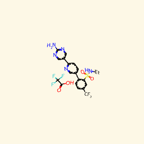 CCNS(=O)(=O)c1cc(C(F)(F)F)ccc1-c1ccc(-c2cnc(N)nc2)nc1.O=C(O)C(F)(F)F